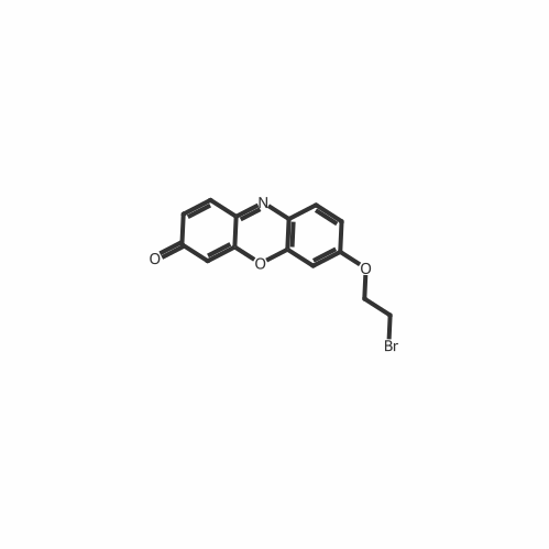 O=c1ccc2nc3ccc(OCCBr)cc3oc-2c1